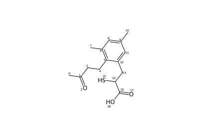 CC(=O)CCc1c(C)cc(C)cc1CC(S)C(=O)O